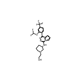 OCCN1CCC[C@@H](Nc2nnc(-c3ccc(C(F)(F)F)cc3OC(F)F)c3cccn23)C1